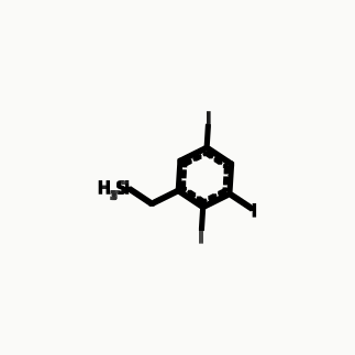 [SiH3]Cc1cc(I)cc(I)c1I